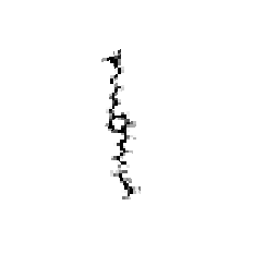 c1cc(CCCCOCC2CO2)ccc1CCCCOCC1CO1